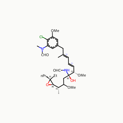 CCC[C@]1(CC)O[C@@H]1[C@@H](C)C(C[C@](O)(NC=O)[C@H](/C=C/C=C(\C)Cc1cc(OC)c(Cl)c(N(C)C=O)c1)OC)OC